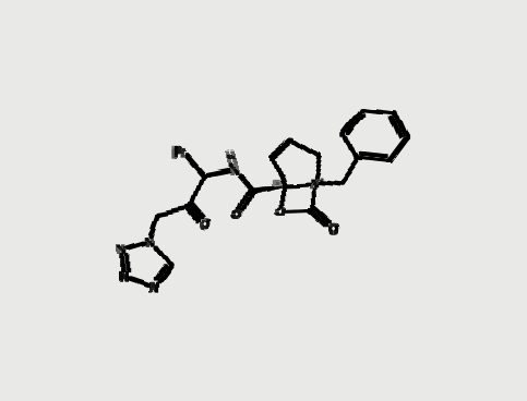 CC(C)C(NC(=O)[C@@]12CCC[N+]1(Cc1ccccc1)C(=O)O2)C(=O)Cn1cnnn1